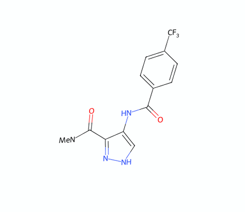 CNC(=O)c1n[nH]cc1NC(=O)c1ccc(C(F)(F)F)cc1